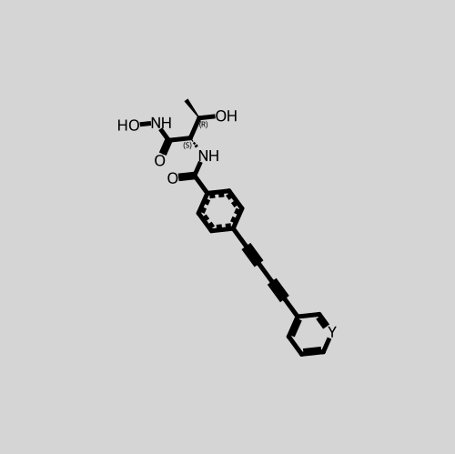 C[C@@H](O)[C@H](NC(=O)c1ccc(C#CC#CC2=CC=[CH][Y]=[CH]2)cc1)C(=O)NO